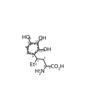 CCC(CC(N)C(=O)O)c1ccc(O)c(O)c1O